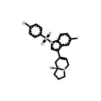 O=S(=O)(c1ccc(Cl)cc1)n1cc(C2=CCN3CCC[C@@H]3C2)c2cc(F)ccc21